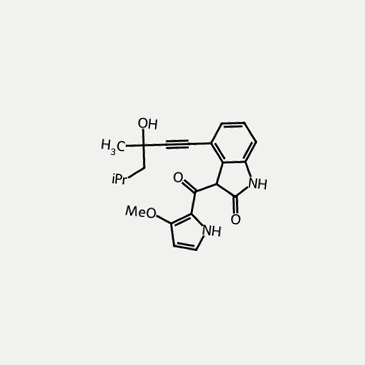 COc1cc[nH]c1C(=O)C1C(=O)Nc2cccc(C#CC(C)(O)CC(C)C)c21